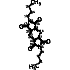 CC[CH][CH]n1c(=O)c2sc3c(=O)n([CH][CH]CC)c(=O)c3sc2c1=O